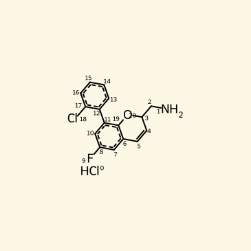 Cl.NCC1C=Cc2cc(F)cc(-c3ccccc3Cl)c2O1